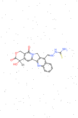 CCC1(O)C(=O)OCc2c1cc1n(c2=O)Cc2c-1nc1ccccc1c2C=NNC(N)=S